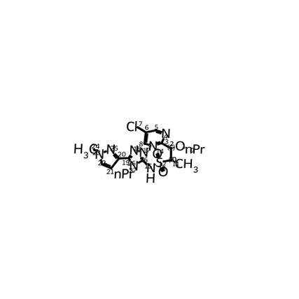 CCCO[C@@H](c1ncc(Cl)cn1)[C@H](C)S(=O)(=O)Nc1nnc(-c2ccn(C)n2)n1CCC